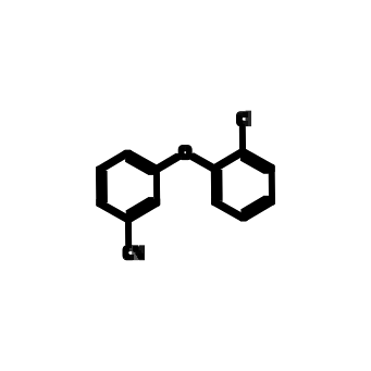 N#Cc1cccc(Oc2ccccc2Cl)c1